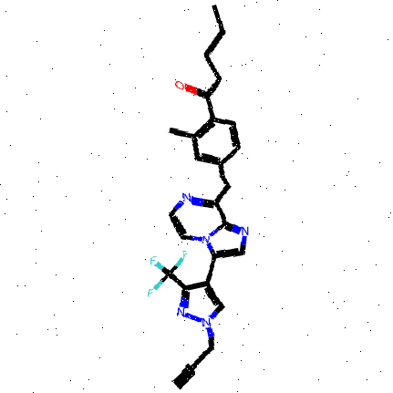 C#CCn1cc(-c2cnc3c(Cc4ccc(C(=O)CCCC)c(C)c4)nccn23)c(C(F)(F)F)n1